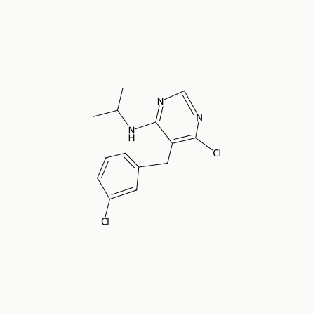 CC(C)Nc1ncnc(Cl)c1Cc1cccc(Cl)c1